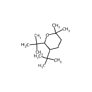 CC1(C)CCC(C(C)(C)C)C(C(C)(C)C)O1